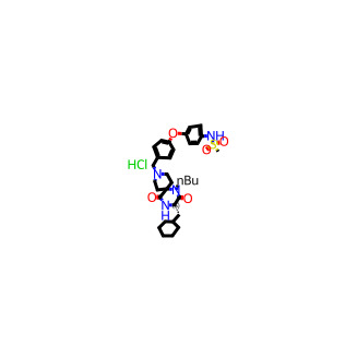 CCCCN1C(=O)[C@H](CC2CCCCC2)NC(=O)C12CCN(Cc1ccc(Oc3ccc(NS(C)(=O)=O)cc3)cc1)CC2.Cl